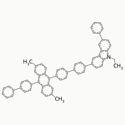 CCn1c2ccc(-c3ccccc3)cc2c2cc(-c3ccc(-c4ccc(-c5c6ccc(C)cc6c(-c6ccc(-c7ccccc7)cc6)c6ccc(C)cc56)cc4)cc3)ccc21